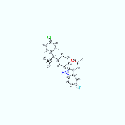 CC1Cc2c([nH]c3ccc(F)cc23)C2(CCC(C(c3ccc(Cl)cc3)[As](C)C)CC2)O1